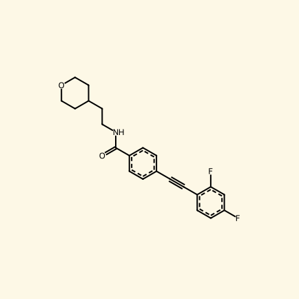 O=C(NCCC1CCOCC1)c1ccc(C#Cc2ccc(F)cc2F)cc1